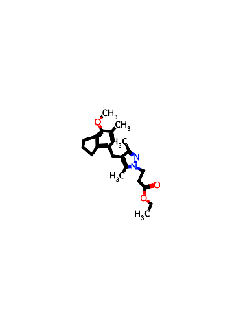 CCOC(=O)CCn1nc(C)c(Cc2cc(C)c(OC)c3c2CCC3)c1C